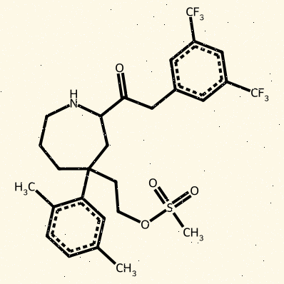 Cc1ccc(C)c(C2(CCOS(C)(=O)=O)CCCNC(C(=O)Cc3cc(C(F)(F)F)cc(C(F)(F)F)c3)C2)c1